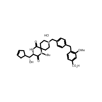 CCCCN1C(=O)[C@@H]([C@H](O)C2CC=CC2)NC(=O)C12CCN(Cc1ccc(Cc3ccc(C(=O)O)cc3OC)cc1)CC2.Cl